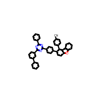 N#Cc1ccc(-c2c(-c3ccc(-c4nc(-c5ccccc5)nc(-c5cccc(-c6ccccc6)c5)n4)cc3)ccc3oc4ccccc4c23)cc1